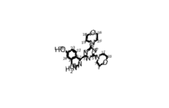 NN=C(c1nc(N2CCOCC2)nc(N2CCOCC2)n1)c1ccc(O)cc1O